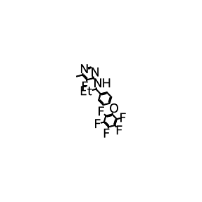 CCC(Nc1ncnc(C)c1F)c1ccc(Oc2c(F)c(F)c(F)c(F)c2F)cc1